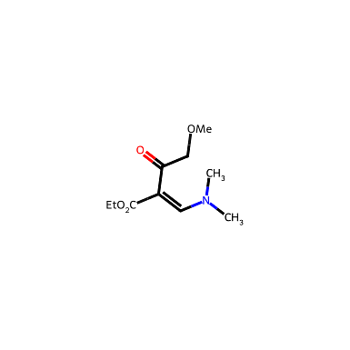 CCOC(=O)C(=CN(C)C)C(=O)COC